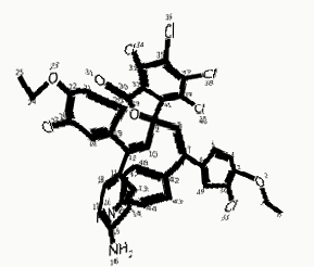 CCOc1ccc(C(=CC2(C=C(c3ccc(N)cc3)c3ccc(OCC)c(Cl)c3)OC(=O)c3c(Cl)c(Cl)c(Cl)c(Cl)c32)c2ccc(N)cc2)cc1Cl